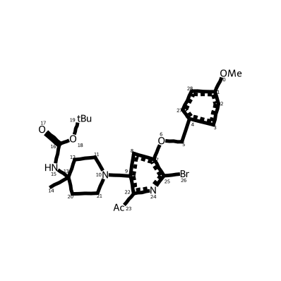 COc1ccc(COc2cc(N3CCC(C)(NC(=O)OC(C)(C)C)CC3)c(C(C)=O)nc2Br)cc1